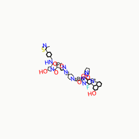 CCc1cccc2cc(O)cc(-c3ncc4c(N5CC6CCC(C5)N6C(=O)OC(C)(C)C)nc(OCCN5CCC6(CC5)CN(c5cc([C@H](C(=O)N7C[C@H](O)C[C@H]7C(=O)NCc7ccc(-c8scnc8C)cc7)C(C)C)on5)C6)nc4c3F)c12